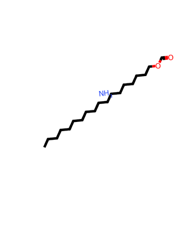 CCCCCCCCCCCCCCCCCCOC=O.N